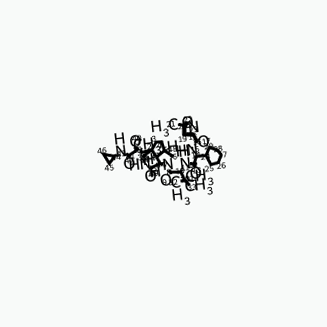 CCC12CC[C@H]3CN(C(=O)[C@@H](NC(=O)[C@@H](NC(=O)c4cc(C)on4)C4CCCCC4)C(C)(C)C)[C@H](C(=O)N[C@@H]1C(=O)C(=O)NC1CC1)[C@H]32